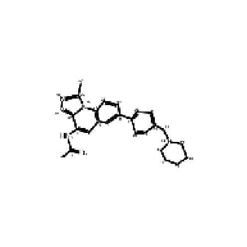 CC(=O)Nc1cc2cc(-c3ccc(CN4CCCCC4)cc3)ccc2n2c(C)nnc12